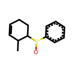 CC1C=CCCC1[S+]([O-])c1ccccc1